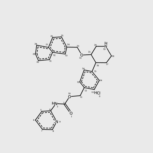 Cl.O=C(Nc1ccccn1)OCc1ccc(C2CCNCC2OCc2ccc3ccccc3c2)cc1